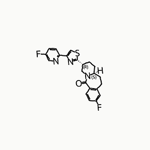 O=C1c2ccc(F)cc2CC[C@@H]2CC[C@@H](c3nc(-c4ccc(F)cn4)cs3)CN12